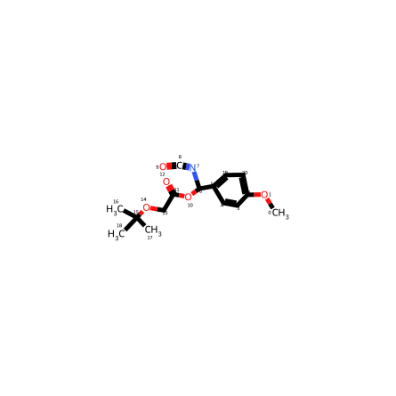 COc1ccc(C(N=C=O)OC(=O)COC(C)(C)C)cc1